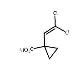 O=C(O)C1(C=C(Cl)Cl)CC1